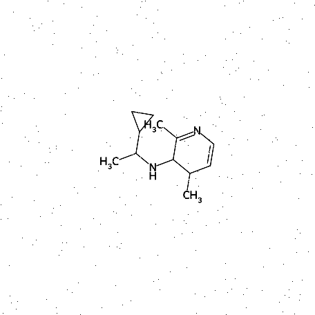 CC1=NC=CC(C)C1NC(C)C1CC1